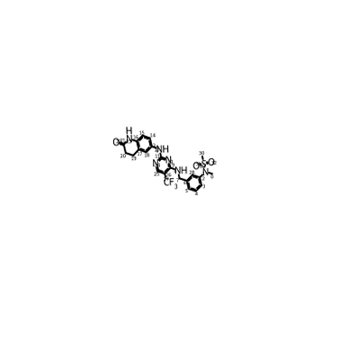 CN(c1cccc(CNc2nc(Nc3ccc4c(c3)CCC(=O)N4)ncc2C(F)(F)F)c1)S(C)(=O)=O